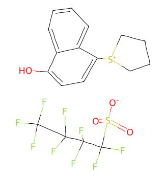 O=S(=O)([O-])C(F)(F)C(F)(F)C(F)(F)C(F)(F)F.Oc1ccc([S+]2CCCC2)c2ccccc12